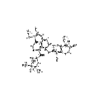 CC[C@@]1(O)C(=O)OCc2c1cc1n(c2=O)Cc2c-1nc1cc(F)c(OC)c3c1c2C(NC(=O)C[C@H](C)C(C)(C)C)CC3